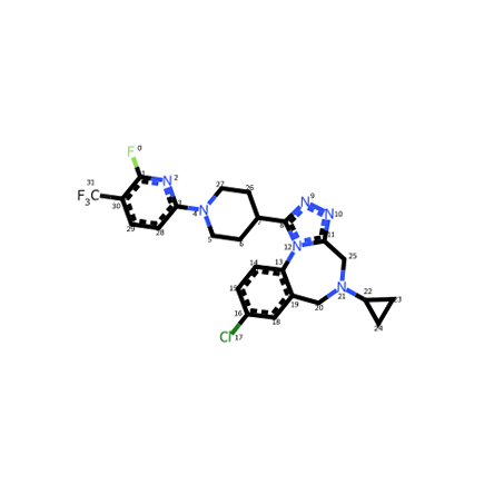 Fc1nc(N2CCC(c3nnc4n3-c3ccc(Cl)cc3CN(C3CC3)C4)CC2)ccc1C(F)(F)F